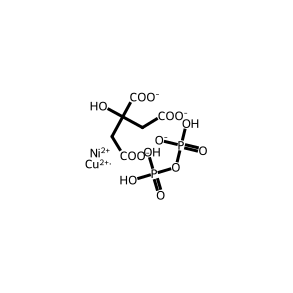 O=C([O-])CC(O)(CC(=O)[O-])C(=O)[O-].O=P([O-])(O)OP(=O)(O)O.[Cu+2].[Ni+2]